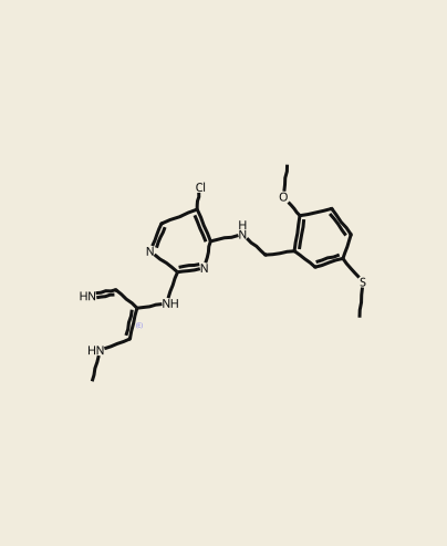 CN/C=C(\C=N)Nc1ncc(Cl)c(NCc2cc(SC)ccc2OC)n1